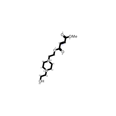 COC(=O)/C=C/C(=O)OCCN1CCN(CCO)CC1